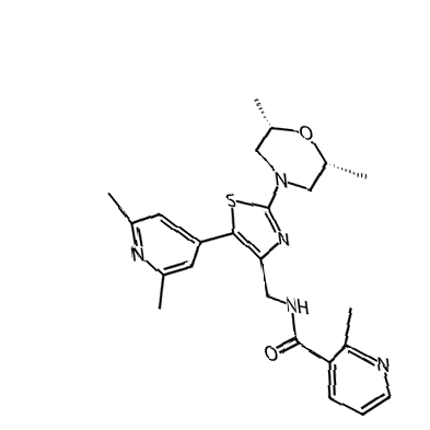 Cc1cc(-c2sc(N3C[C@@H](C)O[C@@H](C)C3)nc2CNC(=O)c2cccnc2C)cc(C)n1